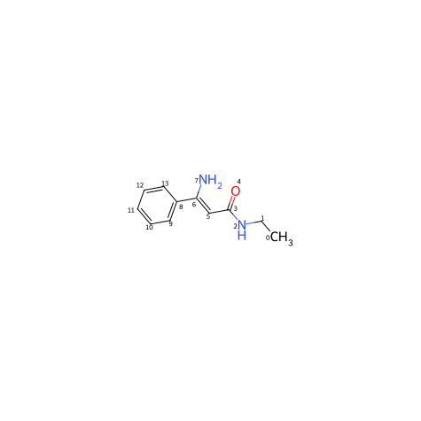 CCNC(=O)C=C(N)c1ccccc1